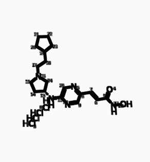 Cl.Cl.Cl.Cl.O=C(C=Cc1cnc(N[C@@H]2CCN(CCC3CCCC3)C2)cn1)NO